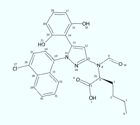 CCCC[C@@H](C(=O)O)N(C=O)c1cc(-c2c(O)cccc2O)n(-c2ccc(Cl)c3ccccc23)n1